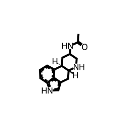 CC(=O)NC1CN[C@@H]2Cc3c[nH]c4cccc(c34)[C@H]2C1